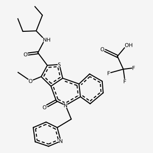 CCC(CC)NC(=O)c1sc2c(c1OC)c(=O)n(Cc1ccccn1)c1ccccc21.O=C(O)C(F)(F)F